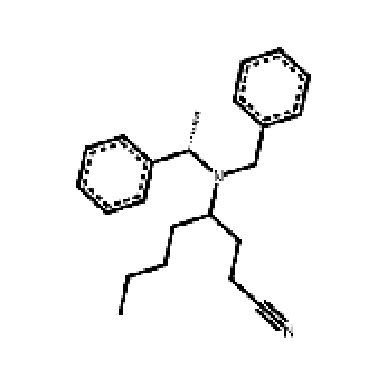 CCCCC(CCC#N)N(Cc1ccccc1)[C@@H](C)c1ccccc1